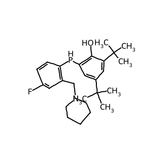 CC(C)(C)c1cc(Pc2ccc(F)cc2CN2CCCCC2)c(O)c(C(C)(C)C)c1